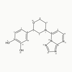 Oc1ccc(C2CN(c3ccnc4ncnn34)CCO2)cc1O